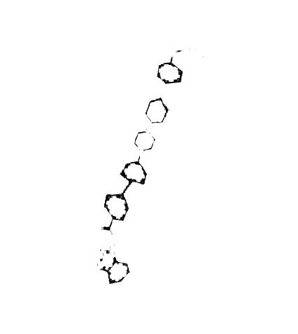 COc1ccc([C@H]2CC[C@@H](N3CCN(c4ccc(-c5ccc(C(=O)On6nnc7ccccc76)cc5)cc4)CC3)CC2)cc1